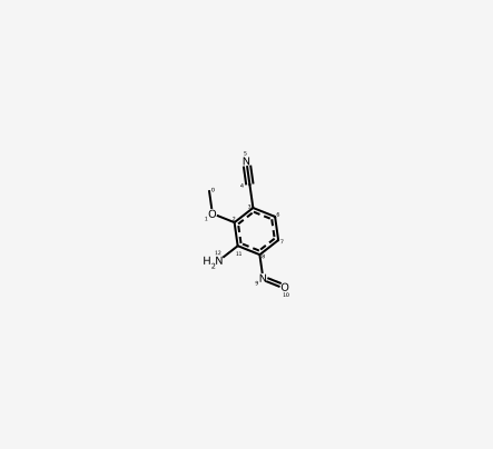 COc1c(C#N)ccc(N=O)c1N